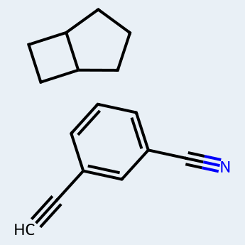 C#Cc1cccc(C#N)c1.C1CC2CCC2C1